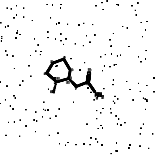 C[C@@H]1CCCC[C@H]1CC(N)=O